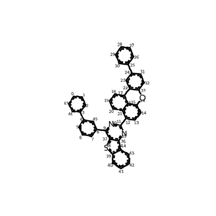 c1ccc(-c2cccc(-c3nc(-c4ccc5c6c(cccc46)-c4cc(-c6ccccc6)ccc4O5)nc4c3sc3ccccc34)c2)cc1